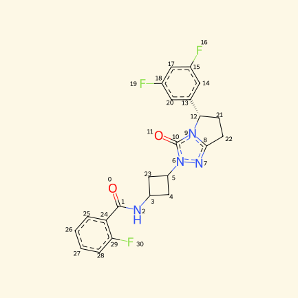 O=C(NC1CC(n2nc3n(c2=O)[C@H](c2cc(F)cc(F)c2)CC3)C1)c1ccccc1F